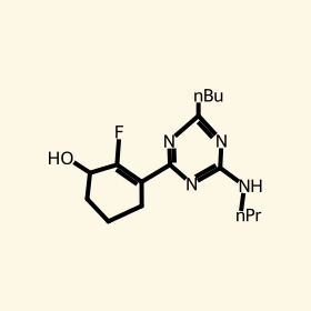 CCCCc1nc(NCCC)nc(C2=C(F)C(O)CCC2)n1